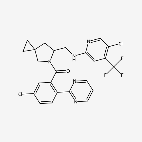 O=C(c1cc(Cl)ccc1-c1ncccn1)N1CC2(CC2)CC1CNc1cc(C(F)(F)F)c(Cl)cn1